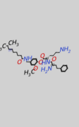 COc1cc(CNC(=O)CCCC/C=C/C(C)C)ccc1OC(=O)[C@H](CCCCN)NC(=O)[C@@H](N)CCc1ccccc1